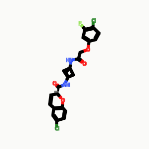 O=C(COc1ccc(Cl)c(F)c1)NC12CC(NC(=O)[C@H]3C=Cc4cc(Cl)ccc4O3)(C1)C2